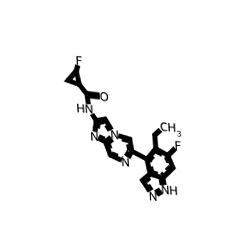 CCc1c(F)cc2[nH]ncc2c1-c1cn2cc(NC(=O)C3CC3F)nc2cn1